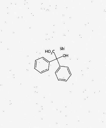 O=C(O)C(O)(c1ccccc1)c1ccccc1.[Sb]